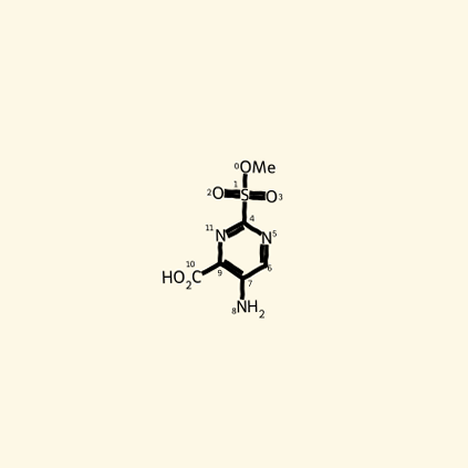 COS(=O)(=O)c1ncc(N)c(C(=O)O)n1